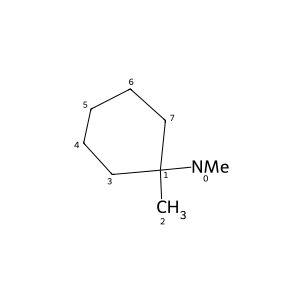 CNC1(C)CCCCC1